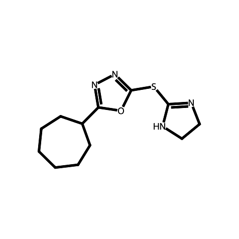 C1CCCC(c2nnc(SC3=NCCN3)o2)CC1